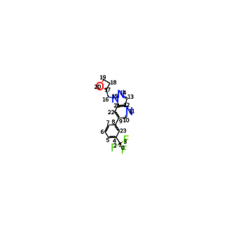 FC(F)(F)c1cccc(-c2cnc3cnn(CC4CCO4)c3c2)c1